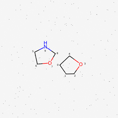 C1CCOC1.C1COCN1